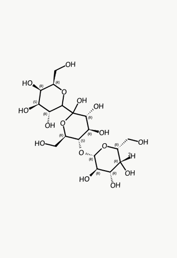 [2H][C@@]1(O)[C@H](O)[C@@H](O)[C@H](O[C@H]2[C@H](O)[C@@H](O)C(O)(C3O[C@H](CO)[C@H](O)[C@H](O)[C@H]3O)O[C@@H]2CO)O[C@@H]1CO